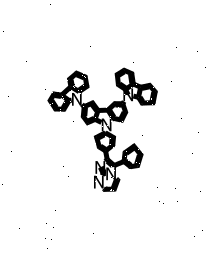 c1ccc(-c2c(-c3ccc(-n4c5ccc(-n6c7ccccc7c7ccccc76)cc5c5cc(-n6c7ccccc7c7ccccc76)ccc54)cc3)nc3ncccn23)cc1